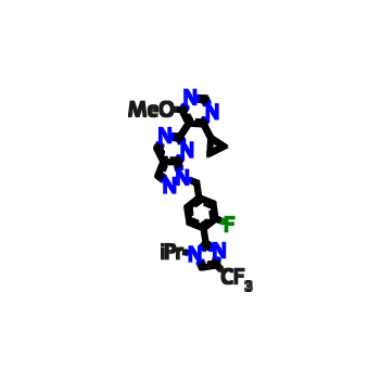 COc1ncnc(C2CC2)c1-c1ncc2cnn(Cc3ccc(-c4nc(C(F)(F)F)cn4C(C)C)c(F)c3)c2n1